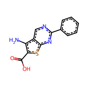 Nc1c(C(=O)O)sc2nc(-c3ccccc3)ncc12